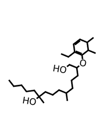 CCCCCC(C)(O)CCCC(C)CCCC(CO)OC1=C(CC)C=CC(C)C1C